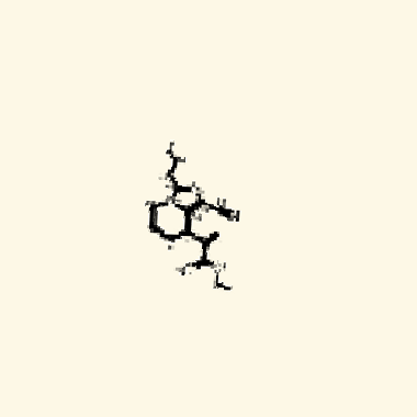 C=C(C(=O)OCC)C1CCCn2c(CCC)nc(C#N)c21